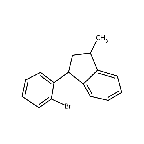 CC1CC(c2ccccc2Br)c2ccccc21